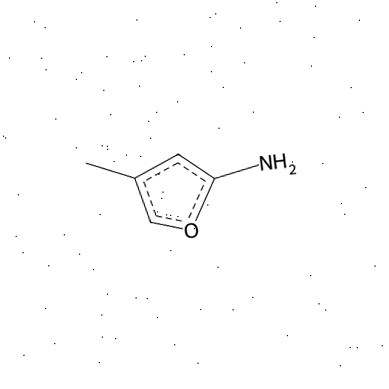 Cc1coc(N)c1